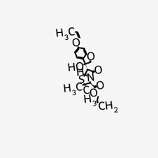 C=CCOC(=O)[C@@H]1N2C(=O)[C@@H](C(O)(C=O)c3ccc(O/C=C\C)cc3)[C@H]2SC1(C)C